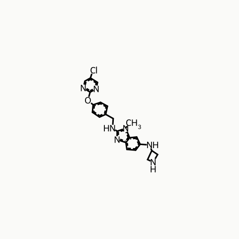 Cn1c(NCc2ccc(Oc3ncc(Cl)cn3)cc2)nc2ccc(NC3CNC3)cc21